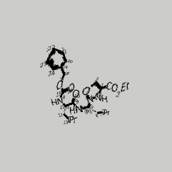 CCOC(=O)C1=CON([C@H](CC(C)C)NC(=O)[C@H](CC(C)C)NC(=O)OCc2ccccc2)N1